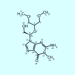 COCC(COC)O[C@H](CO)n1cnc2c(=O)n(C)c(N)nc21